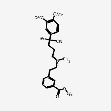 CCCOC(=O)c1cccc(CCN(C)CCCC(C#N)(c2ccc(OC)c(C=O)c2)C(C)C)c1